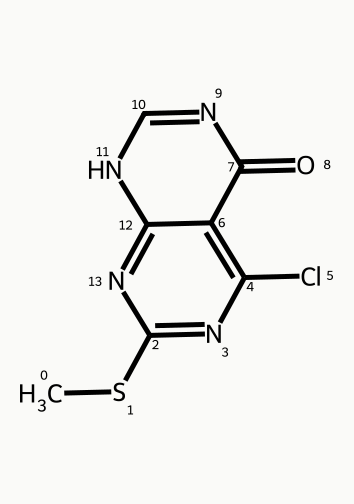 CSc1nc(Cl)c2c(=O)nc[nH]c2n1